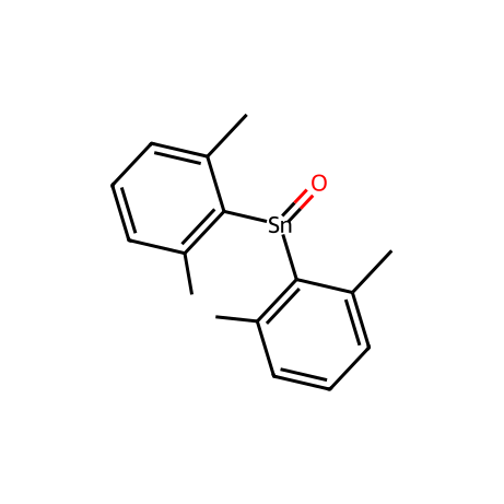 Cc1cccc(C)[c]1[Sn](=[O])[c]1c(C)cccc1C